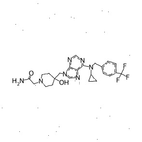 NC(=O)CN1CCC(O)(Cn2cnc3c(N(Cc4ccc(C(F)(F)F)cc4)C4CC4)ncnc32)CC1